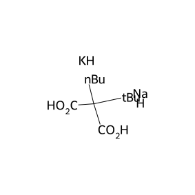 CCCCC(C(=O)O)(C(=O)O)C(C)(C)C.[KH].[NaH]